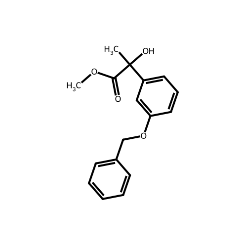 COC(=O)C(C)(O)c1cccc(OCc2ccccc2)c1